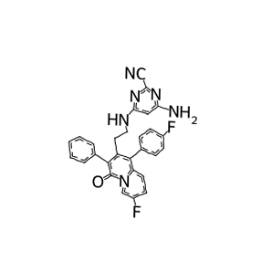 N#Cc1nc(N)cc(NCCc2c(-c3ccccc3)c(=O)n3cc(F)ccc3c2-c2ccc(F)cc2)n1